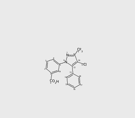 O=C(O)c1cccc(-n2nc(C(F)(F)F)c(Cl)c2-c2ccccc2)c1